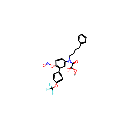 COC(=O)C(=O)N(CCCCc1ccccc1)c1ccc(ON=O)c(-c2ccc(OC(F)(F)F)cc2)c1